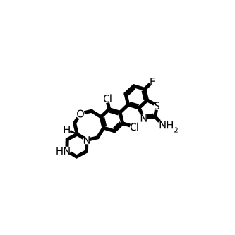 Nc1nc2c(-c3c(Cl)cc4c(c3Cl)COC[C@H]3CNCCN3C4)ccc(F)c2s1